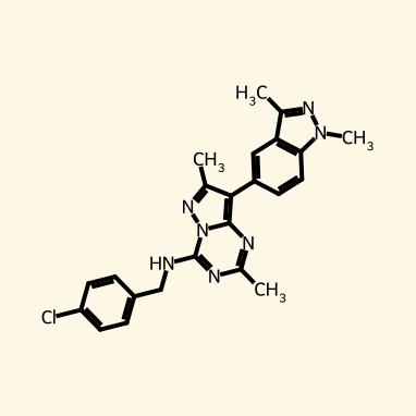 Cc1nc(NCc2ccc(Cl)cc2)n2nc(C)c(-c3ccc4c(c3)c(C)nn4C)c2n1